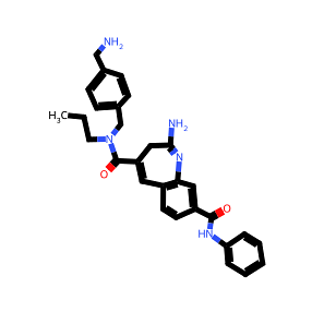 CCCN(Cc1ccc(CN)cc1)C(=O)C1=Cc2ccc(C(=O)Nc3ccccc3)cc2N=C(N)C1